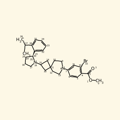 COC(=O)c1ccc(N2CCC3(CC2)CC(N2CCC[C@H]2c2ccccc2C(C)C)C3)cc1Br